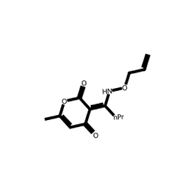 C=CCONC(CCC)=C1C(=O)C=C(C)OC1=O